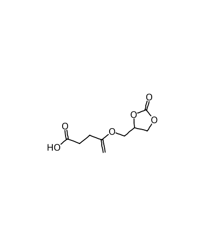 C=C(CCC(=O)O)OCC1COC(=O)O1